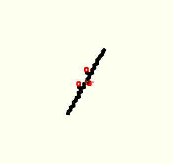 CCCCCCCCCCCC(C=O)CC[S+]([O-])CCC(C=O)CCCCCCCCCCC